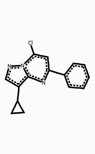 Clc1cc(-c2ccccc2)nc2c(C3CC3)cnn12